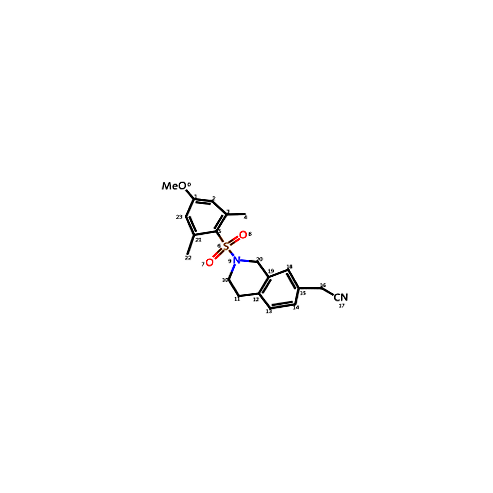 COc1cc(C)c(S(=O)(=O)N2CCc3ccc(CC#N)cc3C2)c(C)c1